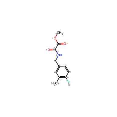 COC(=O)C(=O)NCc1ccc(F)c(C)c1